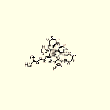 CC(C)(C)[Si](OC[C@@H]1C(c2ccccc2)C[C@H](F)[C@H]1C/C=C\CCCC(=O)O)(c1ccccc1)c1ccccc1